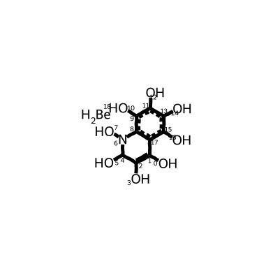 OC1=C(O)C(O)N(O)c2c(O)c(O)c(O)c(O)c21.[BeH2]